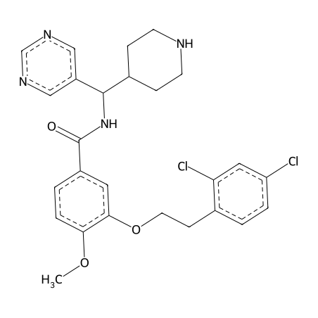 COc1ccc(C(=O)NC(c2cncnc2)C2CCNCC2)cc1OCCc1ccc(Cl)cc1Cl